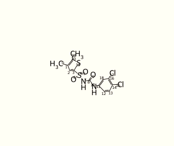 Cc1cc(S(=O)(=O)NC(=O)Nc2ccc(Cl)c(Cl)c2)sc1C